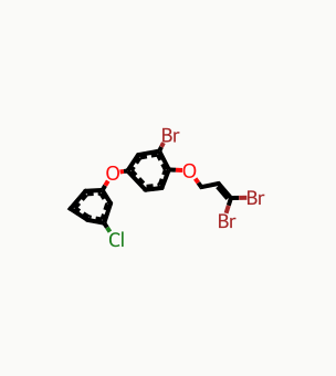 Clc1cccc(Oc2ccc(OCC=C(Br)Br)c(Br)c2)c1